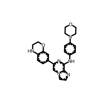 c1cn2cc(-c3ccc4c(c3)OCCN4)nc(Nc3ccc(N4CCOCC4)cc3)c2n1